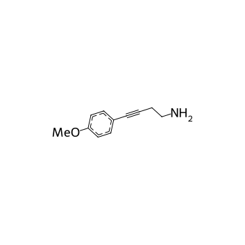 COc1ccc(C#CCCN)cc1